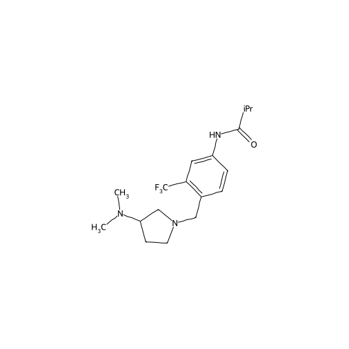 CC(C)C(=O)Nc1ccc(CN2CCC(N(C)C)C2)c(C(F)(F)F)c1